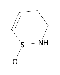 [O-][S+]1C=CCCN1